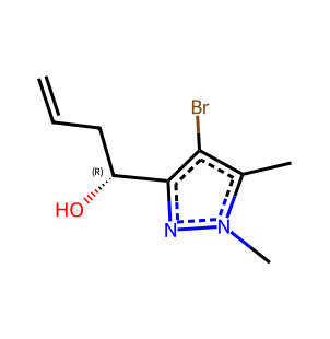 C=CC[C@@H](O)c1nn(C)c(C)c1Br